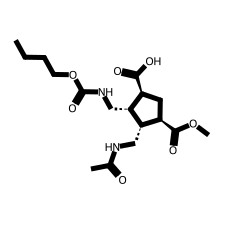 CCCCOC(=O)NC[C@H]1[C@@H](CNC(C)=O)[C@H](C(=O)OC)C[C@@H]1C(=O)O